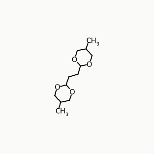 CC1COC(CCC2OCC(C)CO2)OC1